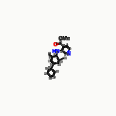 COC(=O)c1ccncc1Nc1c(C)cc(-c2ccccc2)cc1C